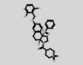 O=C(C1CCS(=O)(=O)CC1)N1CC[C@@]2(S(=O)(=O)c3ccccc3)c3ccc(OCc4c(F)cccc4F)cc3CC[C@@H]12